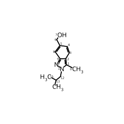 Cc1c2ccc(CO)cc2nn1CC(C)C